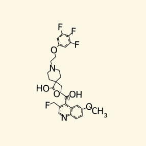 COc1ccc2ncc(CF)c([C@H](O)CCC3(C(=O)O)CCN(CCOc4cc(F)c(F)c(F)c4)CC3)c2c1